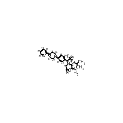 CC(C)C[C@@H](C(N)=O)N(CC#N)C(c1ccc(N2CCN(c3ccccn3)CC2)cc1)C(F)(F)F